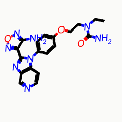 CCN(CCOc1ccc(-n2c(-c3nonc3N)nc3cnccc32)cc1)C(N)=O